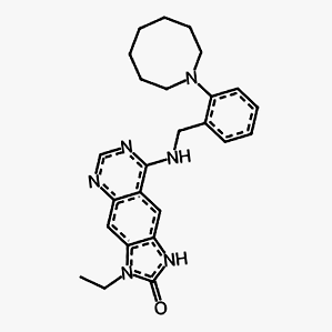 CCn1c(=O)[nH]c2cc3c(NCc4ccccc4N4CCCCCCC4)ncnc3cc21